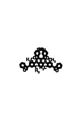 Cc1cc(-c2coc3ccccc23)cc(C)c1N1c2cccc3c2B(c2c1oc1ccc(C(C)(C)C)cc21)c1c(oc2ccc(C(C)(C)C)cc12)N3c1c(C)cc(-c2coc3ccccc23)cc1C